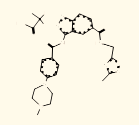 Cc1noc(CNC(=O)c2ccc3[nH]nc(NC(=O)c4ccc(N5CCN(C)CC5)cc4)c3c2)n1.O=C(O)C(F)(F)F